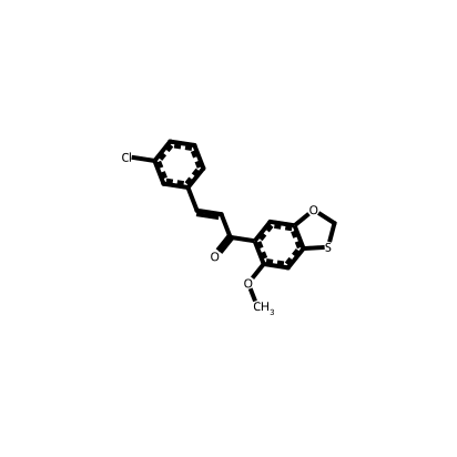 COc1cc2c(cc1C(=O)/C=C/c1cccc(Cl)c1)OCS2